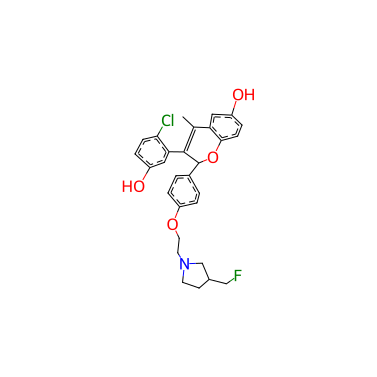 CC1=C(c2cc(O)ccc2Cl)C(c2ccc(OCCN3CCC(CF)C3)cc2)Oc2ccc(O)cc21